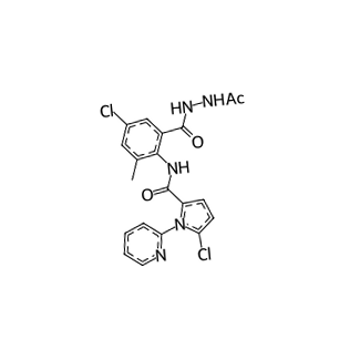 CC(=O)NNC(=O)c1cc(Cl)cc(C)c1NC(=O)c1ccc(Cl)n1-c1ccccn1